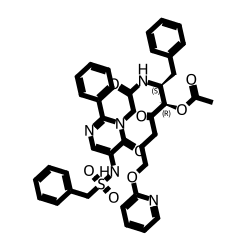 CC(=O)O[C@@H](C(=O)CCCOc1ccccn1)[C@H](Cc1ccccc1)NC(=O)Cn1c(-c2ccccc2)ncc(NS(=O)(=O)Cc2ccccc2)c1=O